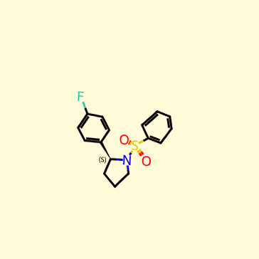 O=S(=O)(c1ccccc1)N1CCC[C@H]1c1ccc(F)cc1